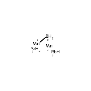 [BH2][Mo].[Mn].[RbH].[SrH2]